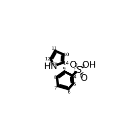 O=S(=O)(O)c1ccccc1.c1cc[nH]c1